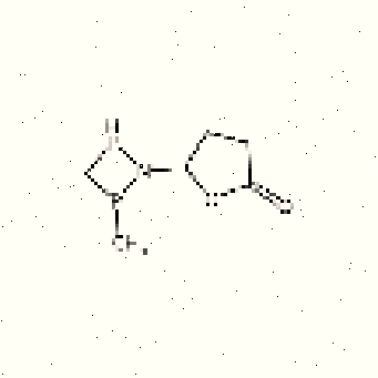 CP1CPN1[C@H]1CCC(=O)O1